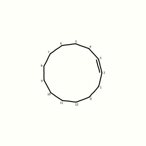 [CH]1CC=CCCCCCCCCC1